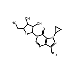 O=c1c2c(nnn1C1OC(CO)C(O)C1O)c([N+](=O)[O-])nn2C1CC1